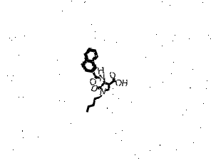 CCCCCN1CC(C(=O)O)C(NC(=O)c2ccc3ccccc3c2)C1=O